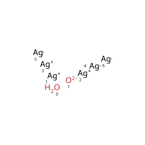 O.[Ag+].[Ag+].[Ag+].[Ag].[Ag].[Ag].[O-2]